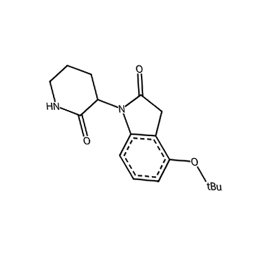 CC(C)(C)Oc1cccc2c1CC(=O)N2C1CCCNC1=O